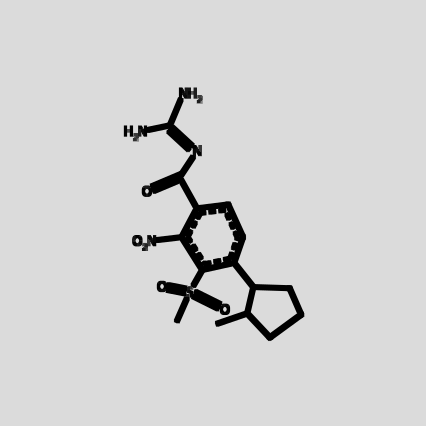 CC1CCCC1c1ccc(C(=O)N=C(N)N)c([N+](=O)[O-])c1S(C)(=O)=O